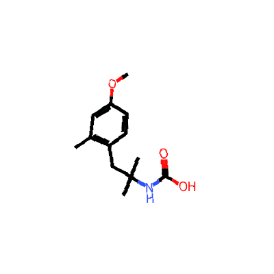 COc1ccc(CC(C)(C)NC(=O)O)c(C)c1